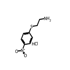 Cl.NCCSc1ccc([N+](=O)[O-])cc1